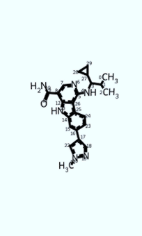 CC(C)C(Nc1ncc(C(N)=O)c2[nH]c3cc(-c4cnn(C)c4)ccc3c12)C1CC1